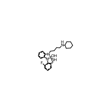 OS1(O)N(CCCCNC2CCCCC2)c2ccccc2N1c1c(F)cccc1F